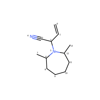 C=CC(C#N)N1C(C)CCCCC1C